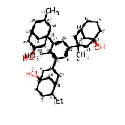 CCC1CCC2(O)CC(c3cc(C4(C)CC5CCCC(O)(C5)C4)cc(C45CC(C)CC(CC(O)C4)C5)c3S(=O)(=O)O)CC1C2